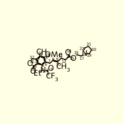 CCN(C(=O)C(F)(F)F)c1c(C/C=C(\C)CCC(=O)OCCN2CCCC2)c(OC)c(C)c2c1C(=O)OC2